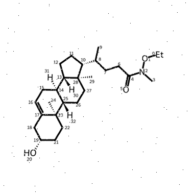 CCON(C)C(=O)CCC(C)[C@H]1CC[C@H]2[C@@H]3CC=C4C[C@@H](O)CC[C@]4(C)[C@H]3CC[C@]12C